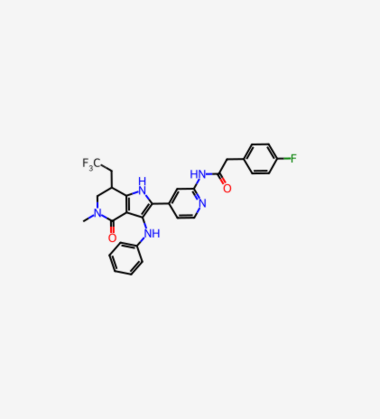 CN1CC(CC(F)(F)F)c2[nH]c(-c3ccnc(NC(=O)Cc4ccc(F)cc4)c3)c(Nc3ccccc3)c2C1=O